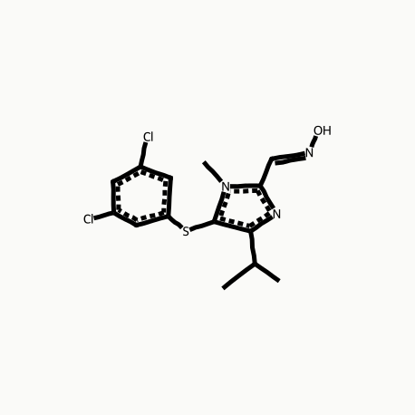 CC(C)c1nc(C=NO)n(C)c1Sc1cc(Cl)cc(Cl)c1